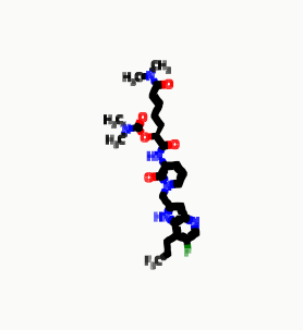 CN(C)C(=O)/C=C/CC[C@H](OC(=O)N(C)C)C(=O)Nc1cccn(Cc2cc3ncc(F)c(CCC(F)(F)F)c3[nH]2)c1=O